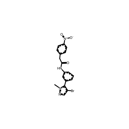 Cn1ncc(Br)c1-c1cccc(NC(=O)Cc2ccc([N+](=O)[O-])cc2)c1